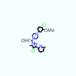 COc1cc(N2CCN(C(C=O)n3nc(-c4cccc(C)n4)c(Cl)c3C)CC2)ccc1Cl